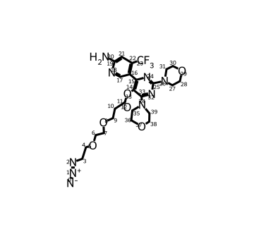 [N-]=[N+]=NCCOCCOCCC(=O)Oc1c(-c2cnc(N)cc2C(F)(F)F)nc(N2CCOCC2)nc1N1CCOCC1